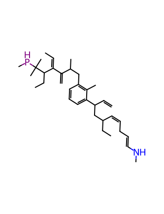 C=CC(CC(/C=C\CC=CNC)CC)c1cccc(CC(C)C(=C)/C(=C/C)C(CC)C(C)(C)PC)c1C